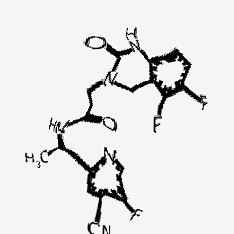 C[C@@H](NC(=O)CN1Cc2c(ccc(F)c2F)NC1=O)c1cc(C#N)c(F)cn1